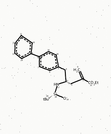 C=C(C[C@@H](Cc1ccc(-c2ccccc2)cc1)N[S@+]([O-])C(C)(C)C)C(=O)OCC